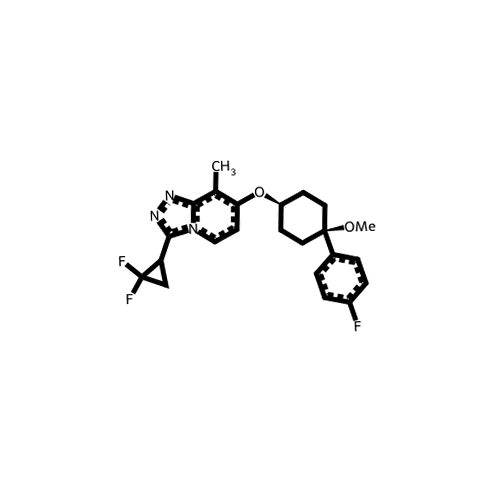 CO[C@]1(c2ccc(F)cc2)CC[C@H](Oc2ccn3c(C4CC4(F)F)nnc3c2C)CC1